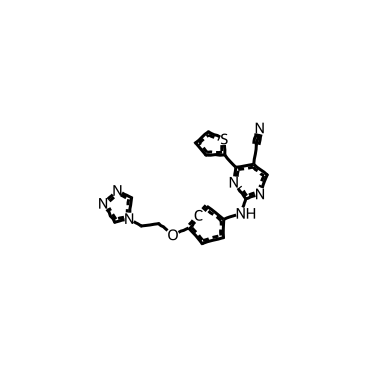 N#Cc1cnc(Nc2ccc(OCCn3cnnc3)cc2)nc1-c1cccs1